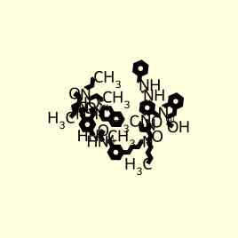 CCCCN(CCCC)C(=O)c1cc(C)n(-c2ccc(NC(=O)N[C@@H](C)c3cccc(CCCCN(CCCC)C(=O)c4cc(C)n(-c5ccc(NCNCc6ccccc6)cc5C(=O)N5Cc6ccccc6C[C@H]5CO)n4)c3)cc2C(=O)N2Cc3ccccc3C[C@H]2CO)n1